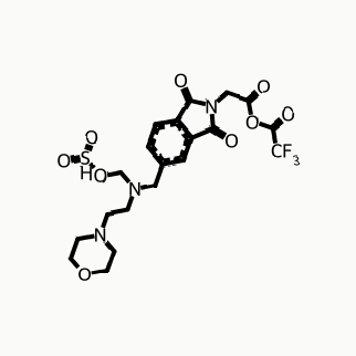 O=C(CN1C(=O)c2ccc(CN(CCN3CCOCC3)CO[SH](=O)=O)cc2C1=O)OC(=O)C(F)(F)F